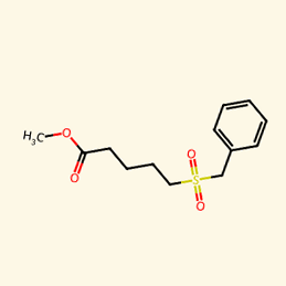 COC(=O)CCCCS(=O)(=O)Cc1ccccc1